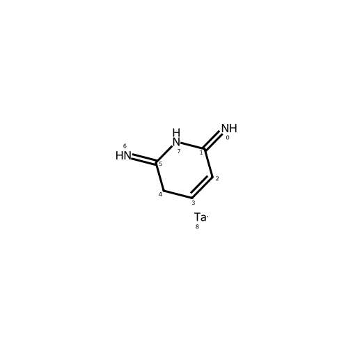 N=C1C=CCC(=N)N1.[Ta]